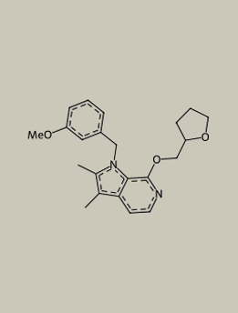 COc1cccc(Cn2c(C)c(C)c3ccnc(OCC4CCCO4)c32)c1